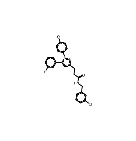 [O]c1ccc(-n2nc(CCC(=O)NCc3cccc(Cl)c3)cc2-c2cccc(F)c2)cc1